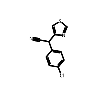 N#CC(c1ccc(Cl)cc1)c1cscn1